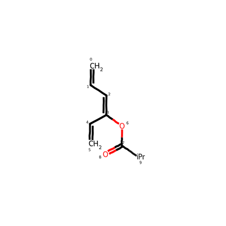 C=C/C=C(\C=C)OC(=O)C(C)C